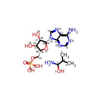 CC(C)C(N)O.Nc1ncnc2c1ncn2[C@@H]1O[C@H](COP(=O)(O)O)[C@@H](O)[C@H]1O